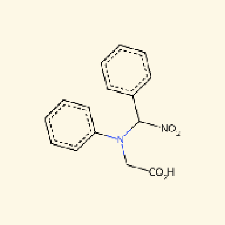 O=C(O)CN(c1ccccc1)C(c1ccccc1)[N+](=O)[O-]